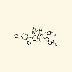 CCC(COC)Nc1nccc(-c2ccc(Cl)cc2Cl)c1N